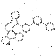 c1cc(-c2nccc(-c3ccncc3)n2)cc(-n2c3ccccc3c3ccc4c5nccnc5c5ccccc5c4c32)c1